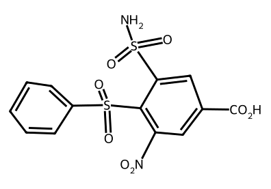 NS(=O)(=O)c1cc(C(=O)O)cc([N+](=O)[O-])c1S(=O)(=O)c1ccccc1